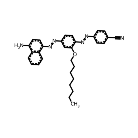 CCCCCCCCOc1cc(N=Nc2ccc(N)c3ccccc23)ccc1N=Nc1ccc(C#N)cc1